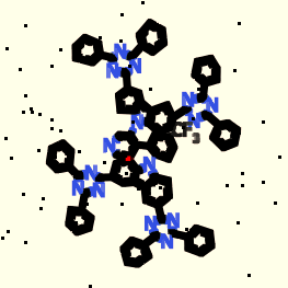 FC(F)(F)c1ccc(-n2c3ccc(-c4nc(-c5ccccc5)nc(-c5ccccc5)n4)cc3c3cc(-c4nc(-c5ccccc5)nc(-c5ccccc5)n4)ccc32)c(-c2ccncc2-n2c3ccc(-c4nc(-c5ccccc5)nc(-c5ccccc5)n4)cc3c3cc(-c4nc(-c5ccccc5)nc(-c5ccccc5)n4)ccc32)c1